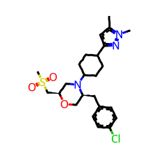 Cc1cc(C2CCC(N3C[C@H](CS(C)(=O)=O)OC[C@@H]3Cc3ccc(Cl)cc3)CC2)nn1C